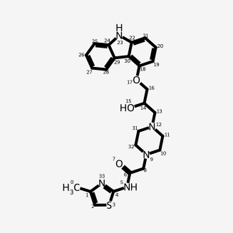 Cc1csc(NC(=O)CN2CCN(CC(O)COc3cccc4[nH]c5ccccc5c34)CC2)n1